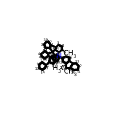 CC1C=CC2=C(C1N(c1ccc(-c3ccccc3)cc1)c1ccc3c(c1)C(C)(C)c1ccccc1-3)C1(c3ccccc32)c2ccccc2-c2ccccc21